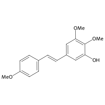 COc1ccc(/C=C/c2cc(O)c(OC)c(OC)c2)cc1